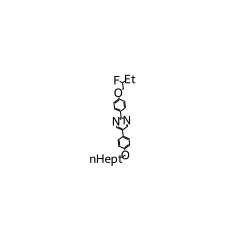 CCCCCCCOc1ccc(-c2cnc(-c3ccc(OCC(F)CC)cc3)nc2)cc1